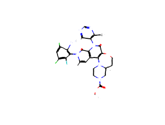 CC(C)c1ncnc(C(C)C)c1-n1c(=O)c2c(c3cc(C(F)(F)F)n(-c4c(N)c(Cl)cc(Cl)c4F)c(=O)c31)N1CCN(C(=O)OC(C)(C)C)C[C@@H]1CCO2